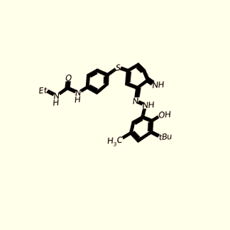 CCNC(=O)Nc1ccc(SC2=C/C(=N/Nc3cc(C)cc(C(C)(C)C)c3O)C(=N)C=C2)cc1